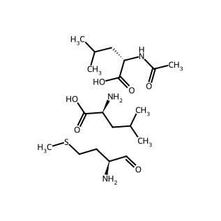 CC(=O)N[C@@H](CC(C)C)C(=O)O.CC(C)C[C@H](N)C(=O)O.CSCC[C@H](N)C=O